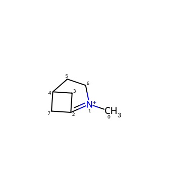 C[N+]1=C2CC(CC1)C2